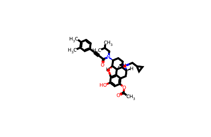 CC(=O)Oc1cc(O)c2c3c1C[C@@H]1[C@@H]4CC[C@H](N(CC(C)C)C(=O)C#Cc5ccc(C)c(C)c5)[C@H](O2)[C@]34CCN1CC1CC1